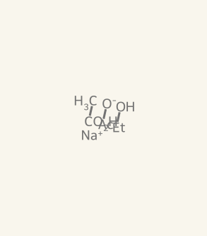 CC(=O)O.CC(=O)[O-].CCO.[Na+]